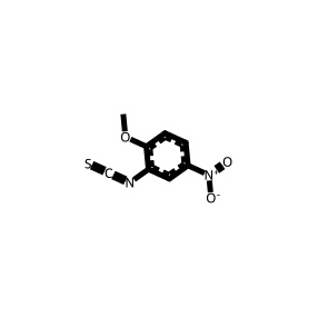 COc1ccc([N+](=O)[O-])cc1N=C=S